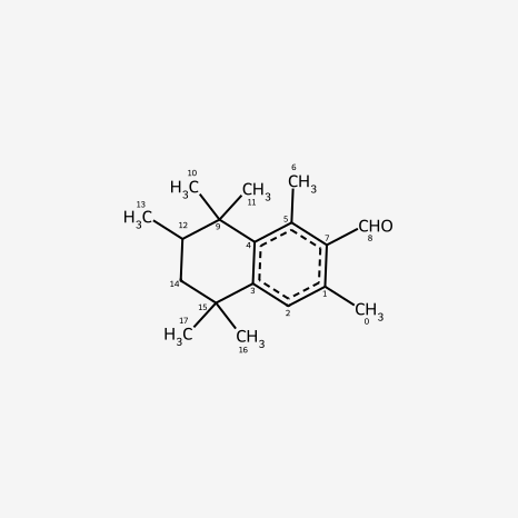 Cc1cc2c(c(C)c1C=O)C(C)(C)C(C)CC2(C)C